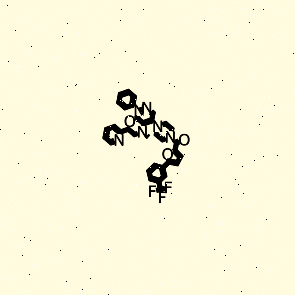 CN(CCc1ccccn1)c1c(N2CCN(C(=O)c3ccc(-c4cccc(C(F)(F)F)c4)o3)CC2)cnn(-c2ccccc2)c1=O